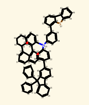 c1ccc(C2(c3ccccc3)c3ccccc3-c3ccc(-c4ccc(N(c5cccc(-c6cccc7c6sc6ccccc67)c5)c5ccccc5-c5cccc6cccc(C7CCCCC7)c56)cc4)cc32)cc1